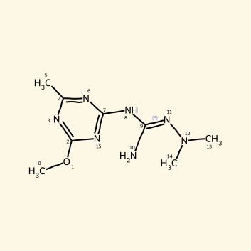 COc1nc(C)nc(N/C(N)=N/N(C)C)n1